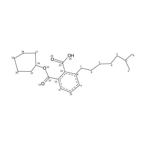 CC(C)CCCCCc1cccc(C(=O)OC2CCCCC2)c1C(=O)O